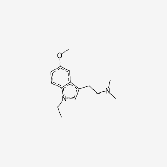 CCn1cc(CCN(C)C)c2cc(OC)ccc21